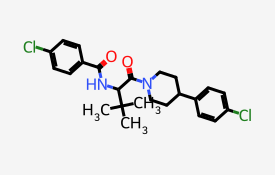 CC(C)(C)C(NC(=O)c1ccc(Cl)cc1)C(=O)N1CCC(c2ccc(Cl)cc2)CC1